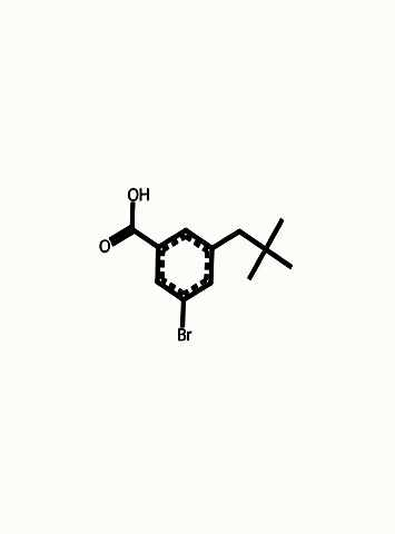 CC(C)(C)Cc1cc(Br)cc(C(=O)O)c1